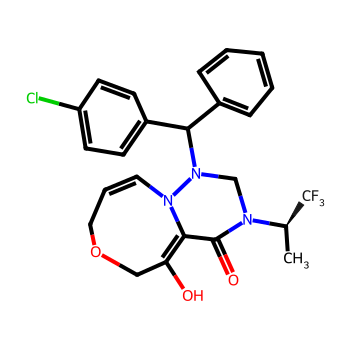 C[C@@H](N1CN(C(c2ccccc2)c2ccc(Cl)cc2)N2/C=C\COC/C(O)=C\2C1=O)C(F)(F)F